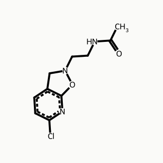 CC(=O)NCCN1Cc2ccc(Cl)nc2O1